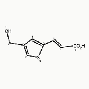 O=C(O)C=Cc1cc(CO)cs1